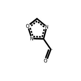 O=[C]c1ncon1